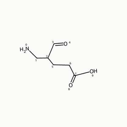 NCC(C=O)CCC(=O)O